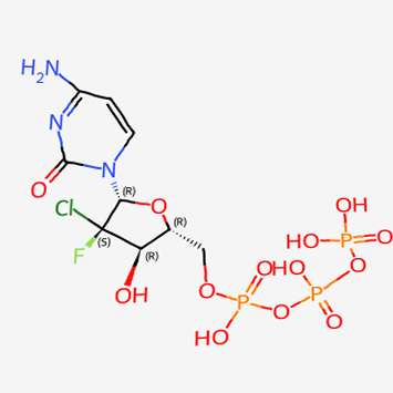 Nc1ccn([C@@H]2O[C@H](COP(=O)(O)OP(=O)(O)OP(=O)(O)O)[C@@H](O)[C@]2(F)Cl)c(=O)n1